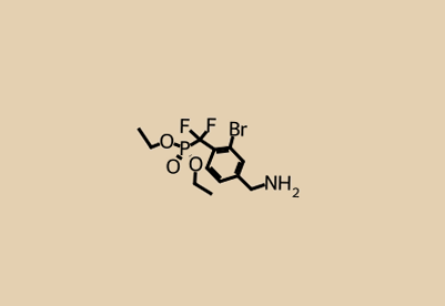 CCOP(=O)(OCC)C(F)(F)c1ccc(CN)cc1Br